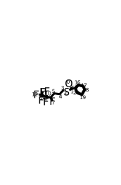 O=C(SCCCC(F)C(F)(F)C(F)(F)F)c1ccccc1